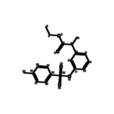 CCOC(=O)C(C)c1cccc(OS(=O)(=O)c2ccc(C)cc2)c1